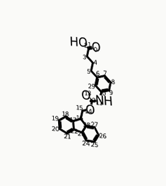 O=C(O)CCCc1cccc(NC(=O)OCC2c3ccccc3-c3ccccc32)c1